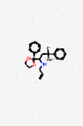 C=CCNC(CC(CC)(NC)c1ccccc1)C1(c2ccccc2)OCCO1